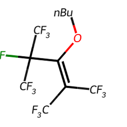 CCCCOC(=C(C(F)(F)F)C(F)(F)F)C(F)(C(F)(F)F)C(F)(F)F